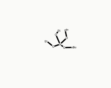 CCCCO[Si](OCC)(OCC)OCCC